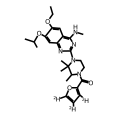 [2H]c1oc(C(=O)N2CCN(c3nc(NC)c4cc(OCC)c(OC(C)C)cc4n3)C(C)(C)C2C)c([2H])c1[2H]